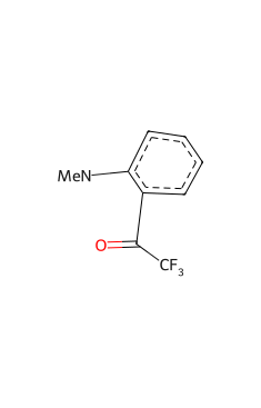 CNc1ccccc1C(=O)C(F)(F)F